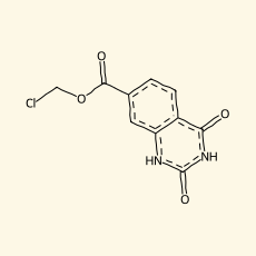 O=C(OCCl)c1ccc2c(=O)[nH]c(=O)[nH]c2c1